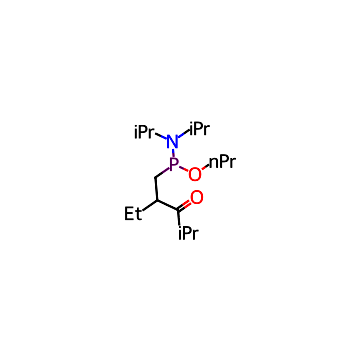 CCCOP(CC(CC)C(=O)C(C)C)N(C(C)C)C(C)C